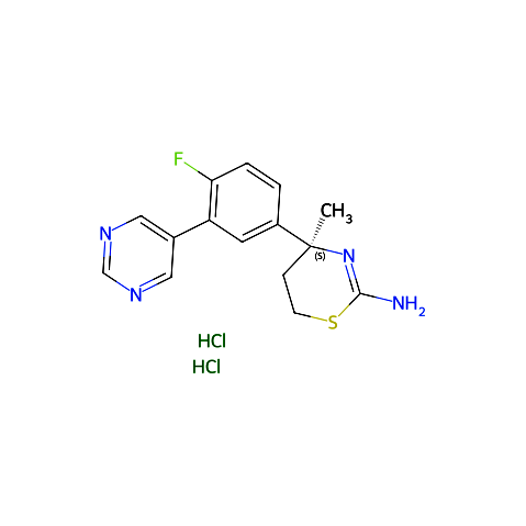 C[C@@]1(c2ccc(F)c(-c3cncnc3)c2)CCSC(N)=N1.Cl.Cl